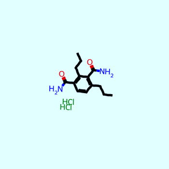 CCCc1ccc(C(N)=O)c(CCC)c1C(N)=O.Cl.Cl